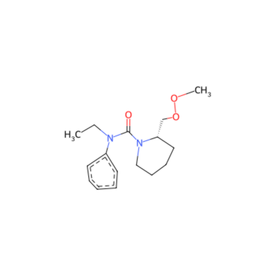 CCN(C(=O)N1CCCC[C@H]1COOC)c1ccccc1